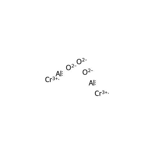 [Al].[Al].[Cr+3].[Cr+3].[O-2].[O-2].[O-2]